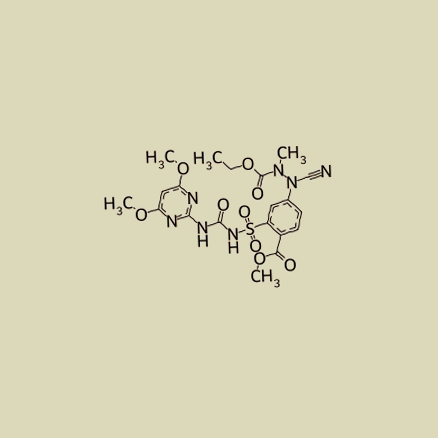 CCOC(=O)N(C)N(C#N)c1ccc(C(=O)OC)c(S(=O)(=O)NC(=O)Nc2nc(OC)cc(OC)n2)c1